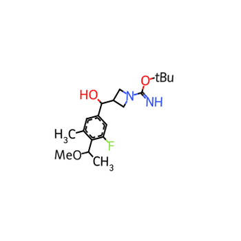 COC(C)c1c(C)cc(C(O)C2CN(C(=N)OC(C)(C)C)C2)cc1F